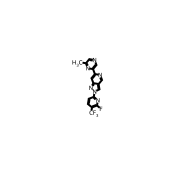 Cc1cncc(-c2cc3nn(-c4ccc(C(F)(F)F)c(F)n4)cc3cn2)n1